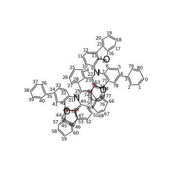 c1ccc(-c2ccc(N(c3cccc4c3oc3ccccc34)c3c4ccccc4c(N(c4ccc(-c5ccccc5)cc4-c4ccccc4)c4cccc5c4oc4ccccc45)c4c3oc3ccccc34)c(-c3ccccc3)c2)cc1